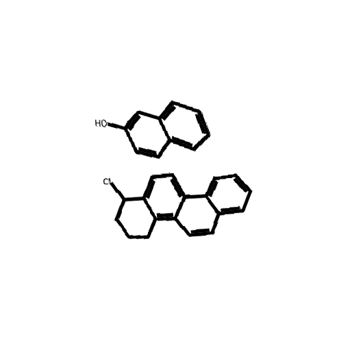 ClC1CCCc2c1ccc1c2ccc2ccccc21.Oc1ccc2ccccc2c1